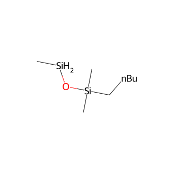 CCCCC[Si](C)(C)O[SiH2]C